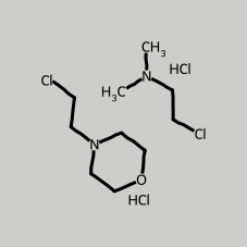 CN(C)CCCl.Cl.Cl.ClCCN1CCOCC1